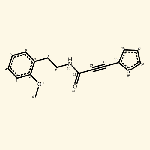 COc1ccccc1CCNC(=O)C#Cc1cccs1